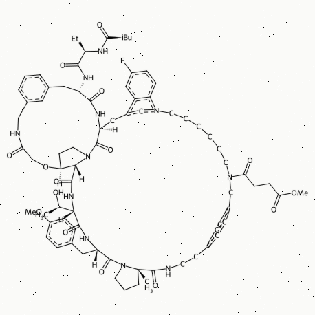 CC[C@H](C)C(=O)N[C@H](CC)C(=O)N[C@H]1Cc2cccc(c2)CNC(=O)CO[C@H]2CCN3C(=O)[C@H](Cc4cn(c5ccc(F)cc45)CCCCCCN(C(=O)CCC(=O)OC)Cc4ccc(cc4)CCNC(=O)[C@]4(C)CCCN4C(=O)[C@H](Cc4ccc(OC)cc4)NC(=O)[C@H]([C@@H](C)O)NC(=O)[C@H]23)NC1=O